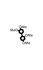 COc1c[c]c(-c2ccc(OC)c(OC)c2)c(OC)c1